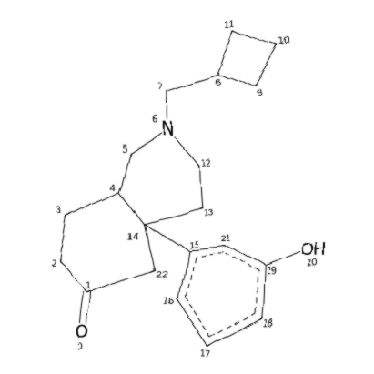 O=C1CCC2CN(CC3CCC3)CCC2(c2cccc(O)c2)C1